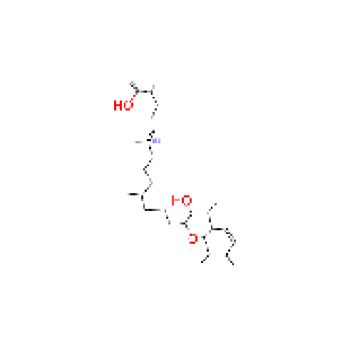 C=C(O)C(C)CC/C=C(\C)CCCC(C)CCCC(CO)OC1C(CC)C=CC(C)C1C